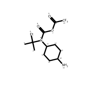 CCC(C)(C)N(C(=O)OC(=O)C(F)(F)F)C1CCC(N)CC1